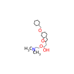 CN(C)CCOC(O)Cc1cc2ccc(OCc3ccccc3)cc2o1